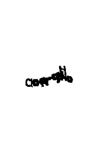 Cc1cc(NCc2ccccc2)nc2ccc(C#Cc3ccc(-c4ccc(Cl)cc4)cn3)cc12